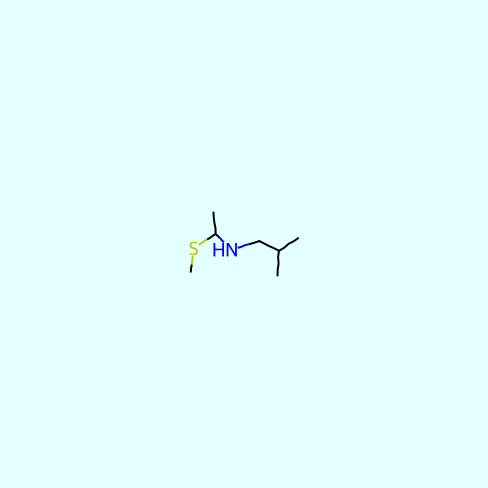 CSC(C)NCC(C)C